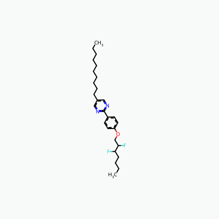 CCCCCCCCCCc1cnc(-c2ccc(OCC(F)C(F)CCCC)cc2)nc1